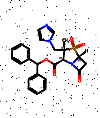 C[C@]1(Cn2ccnc2)[C@H](C(=O)OC(c2ccccc2)c2ccccc2)N2C(=O)C[C@H]2S1(=O)=O